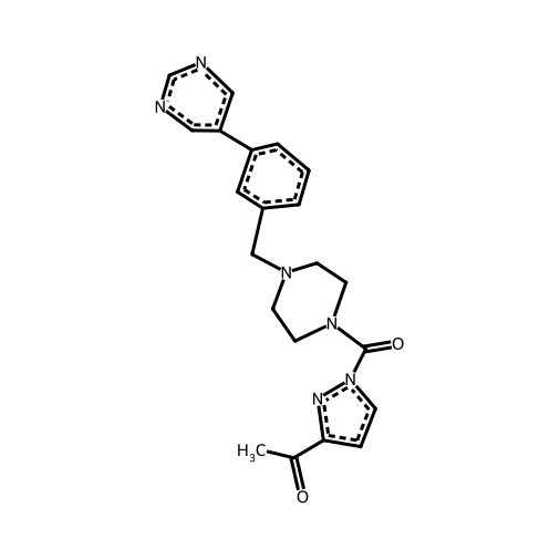 CC(=O)c1ccn(C(=O)N2CCN(Cc3cccc(-c4cncnc4)c3)CC2)n1